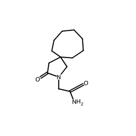 NC(=O)CN1CC2(CCCCCCC2)CC1=O